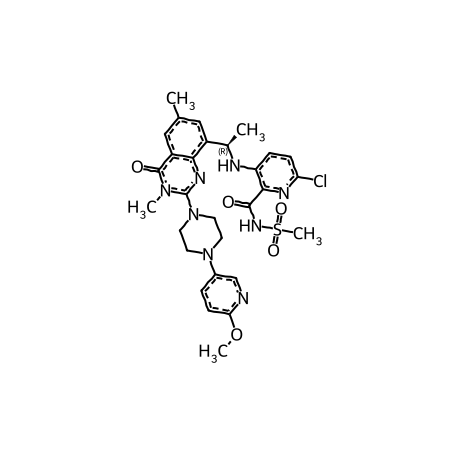 COc1ccc(N2CCN(c3nc4c([C@@H](C)Nc5ccc(Cl)nc5C(=O)NS(C)(=O)=O)cc(C)cc4c(=O)n3C)CC2)cn1